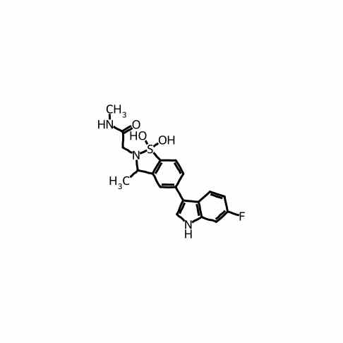 CNC(=O)CN1C(C)c2cc(-c3c[nH]c4cc(F)ccc34)ccc2S1(O)O